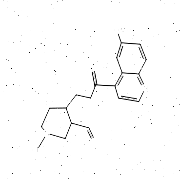 C=CC1CN(Cl)CCC1CCC(=O)c1ccnc2ccc(OC)cc12